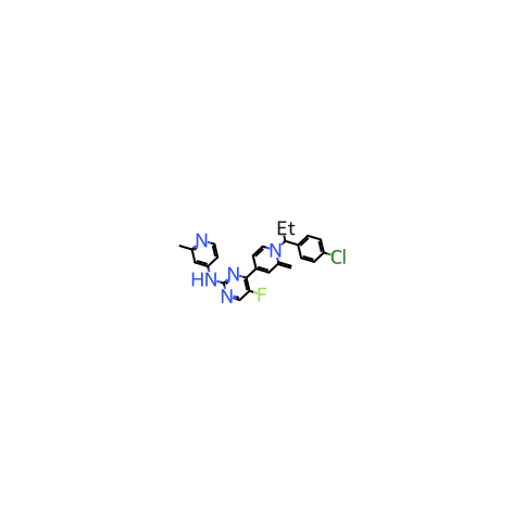 C=C1C=C(c2nc(Nc3ccnc(C)c3)ncc2F)C=CN1C(CC)c1ccc(Cl)cc1